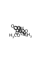 CSC1C(=O)C[C@H]2[C@@H]3CCC4=CC(=O)C=C[C@]4(C)C3(F)[C@@H](OC(C)=O)C[C@]12C